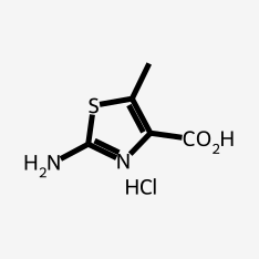 Cc1sc(N)nc1C(=O)O.Cl